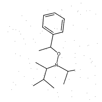 CC(ON(C(C)C)C(C)C(C)C)c1ccccc1